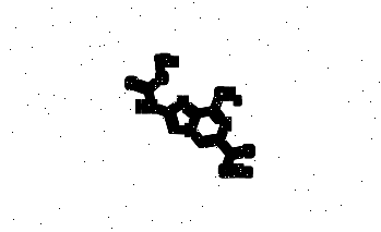 COC(=O)c1cn2cc(NC(=O)OC(C)(C)C)nc2c(C)n1